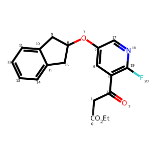 CCOC(=O)CC(=O)c1cc(OC2Cc3ccccc3C2)cnc1F